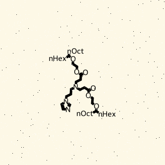 CCCCCCCCC(CCCCCC)OCCOC(=O)CCN(CCCn1ccnc1)CCC(=O)OCCOC(CCCCCC)CCCCCCCC